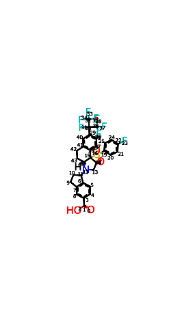 O=C(O)c1ccc2c(c1)CCC2N1CC[C@@]2(S(=O)(=O)c3ccc(F)cc3)c3ccc(C(F)(C(F)(F)F)C(F)(F)F)cc3CC[C@@H]12